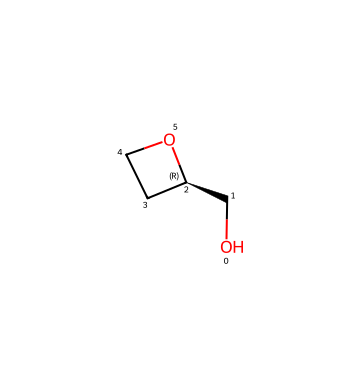 OC[C@H]1CCO1